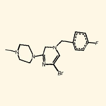 CN1CCN(C2=NC(Br)=CN(Cc3ccc(F)cc3)C2)CC1